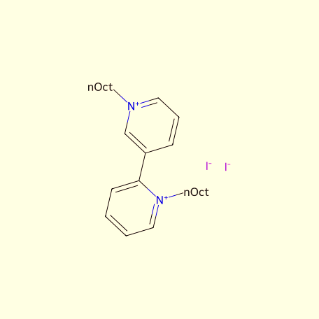 CCCCCCCC[n+]1cccc(-c2cccc[n+]2CCCCCCCC)c1.[I-].[I-]